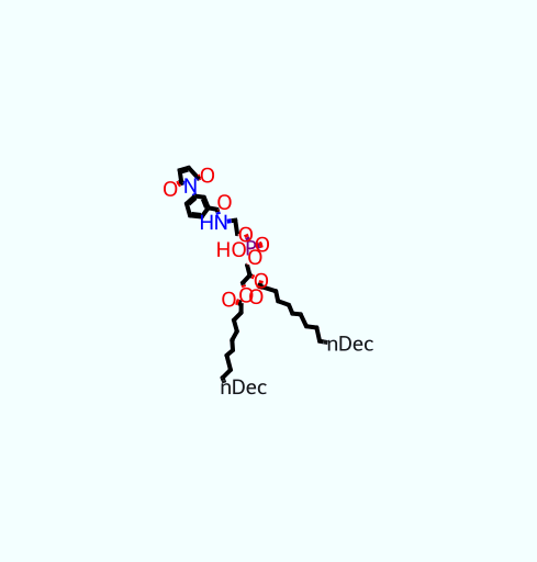 CCCCCCCCCCCCCCCCCCC(=O)OCC(COP(=O)(O)OCCNC(=O)c1cccc(N2C(=O)C=CC2=O)c1)OC(=O)CCCCCCCCCCCCCCCCCC